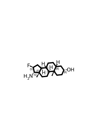 C[C@]12CC[C@@H](O)C[C@H]1CC[C@@H]1[C@@H]2CC[C@]2(C)[C@H](N)[C@@H](F)C[C@@H]12